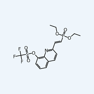 CCOP(=O)(C=Cc1ccc2cccc(OS(=O)(=O)C(F)(F)F)c2n1)OCC